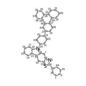 c1ccc(-c2nc3cc4c(cc3s2)c2ccccc2n4-c2ccc(-c3ccc4c5ccccc5c5ccccc5c4c3)cc2)cc1